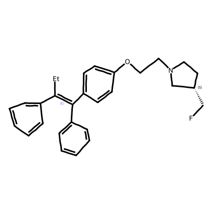 CC/C(=C(/c1ccccc1)c1ccc(OCCN2CC[C@H](CF)C2)cc1)c1ccccc1